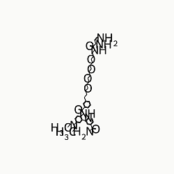 CCN(CC)c1ccc(NC(=O)c2cccc(CCCOCCOCCOCCOCCNC(=O)C(=N)/C=C\N)c2)c(-c2cc(C(N)=O)ccn2)c1